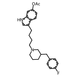 CC(=O)Oc1ccc2c(CCCCN3CCCC(Cc4ccc(F)cc4)C3)c[nH]c2c1